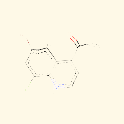 CNC(=O)c1ccnc2c(F)cc(Br)cc12